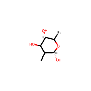 CCC1O[C@H](O)C(C)C(O)[C@@H]1O